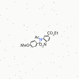 CCOC(=O)c1ccc([N+](=O)[O-])c(N(Cc2ccc(OC)cc2)C(C)=O)c1